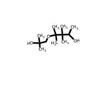 CC(O)C(C)(C)C(C)(C)OCC(C)(C)O